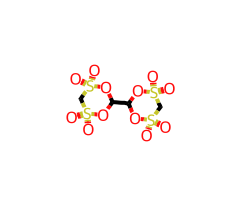 O=S1(=O)CS(=O)(=O)OC(C2OS(=O)(=O)CS(=O)(=O)O2)O1